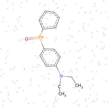 CCN(CC)c1ccc([PH](=O)c2ccccc2)cc1